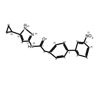 O=C(Cc1ccc(-c2cccc([N+](=O)[O-])c2)cc1)Nc1cc(C2CC2)[nH]n1